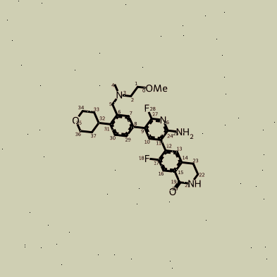 COCCN(C)Cc1cc(-c2cc(-c3cc4c(cc3F)C(=O)NCC4)c(N)nc2F)ccc1C1CCOCC1